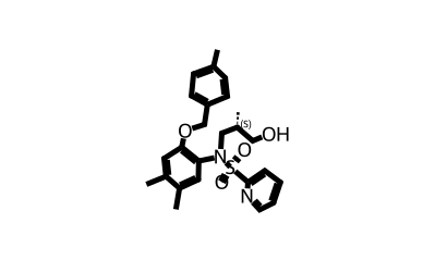 Cc1ccc(COc2cc(C)c(C)cc2N(C[C@H](C)CO)S(=O)(=O)c2ccccn2)cc1